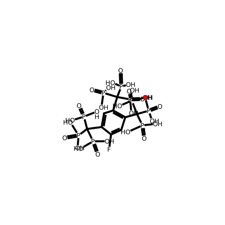 O=P(O)(O)C(c1cc(C(P(=O)(O)O)(P(=O)(O)O)P(=O)(O)O)c(C(P(=O)(O)O)(P(=O)(O)O)P(=O)(O)O)cc1F)(P(=O)(O)O)P(=O)(O)O